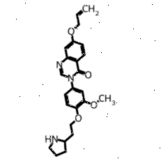 C=CCOc1ccc2c(=O)n(-c3ccc(OCCC4CCCN4)c(OC)c3)cnc2c1